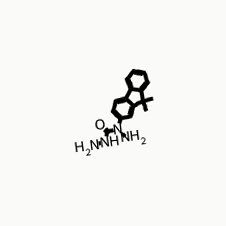 CC1(C)c2ccccc2-c2ccc(N(N)C(=O)NN)cc21